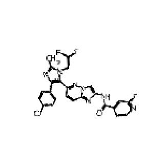 Cc1nc(-c2ccc(Cl)cc2)c(-c2ccc3nc(NC(=O)c4ccnc(F)c4)cn3n2)n1CC(F)F